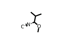 [C-]#[N+]C(OC)C(C)C